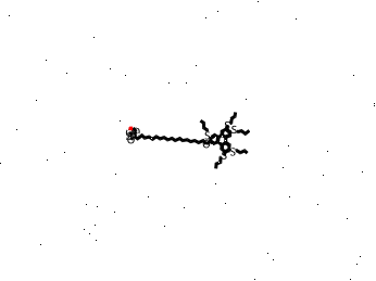 CCCCSc1cc2c(cc1OCCCCCCCCCCCCCCCCCC[Si](OC)(OC)OC)c1cc(SCCCC)c(SCCCC)cc1c1cc(SCCCC)c(SCCCC)cc21